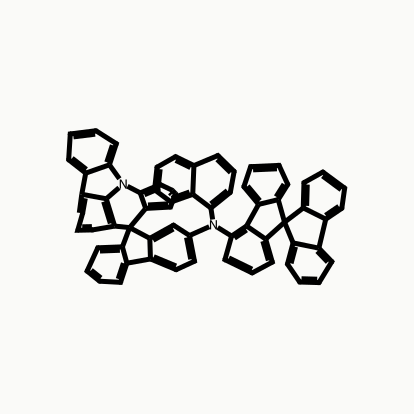 c1ccc2c(c1)-c1ccccc1C21c2ccccc2-c2c(N(c3ccc4c(c3)C3(c5ccccc5-4)c4ccccc4-n4c5ccccc5c5cccc3c54)c3cccc4ccccc34)cccc21